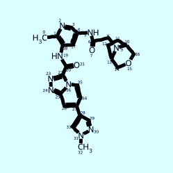 Cc1ncc(NC(=O)CN2C3CCC2COC3)cc1NC(=O)c1nnc2cc(-c3cnn(C)c3)ccn12